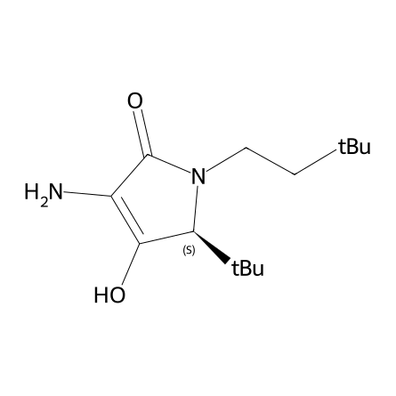 CC(C)(C)CCN1C(=O)C(N)=C(O)[C@@H]1C(C)(C)C